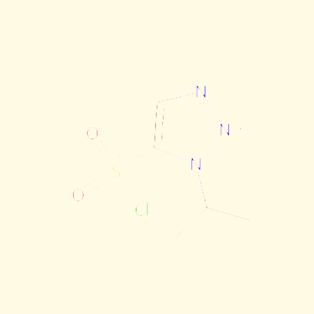 CC(C)n1nncc1S(=O)(=O)Cl